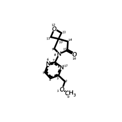 COCc1ccnc(N2CC3(COC3)CC2=O)n1